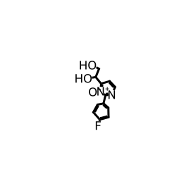 [O-][n+]1c(C(O)CO)ccnc1-c1ccc(F)cc1